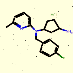 Cc1cccc(N(Cc2ccc(F)cc2)C2CCC(N)C2)n1.Cl